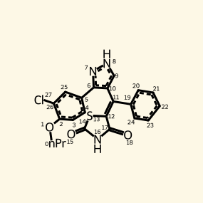 CCCOc1ccc(-c2n[nH]cc2C(=C2SC(=O)NC2=O)c2ccccc2)cc1Cl